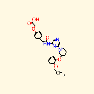 CCOc1ccccc1O[C@@H]1CCCN(c2cncc(NC(=O)Cc3ccc(OCC(=O)O)cc3)n2)C1